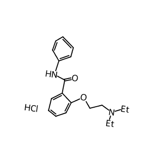 CCN(CC)CCOc1ccccc1C(=O)Nc1ccccc1.Cl